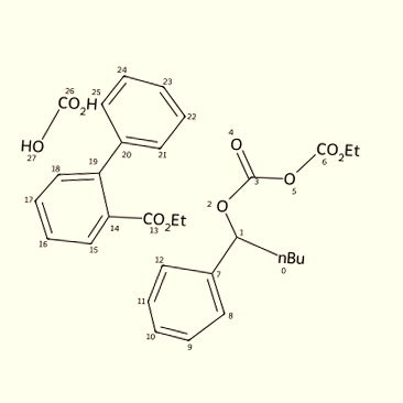 CCCCC(OC(=O)OC(=O)OCC)c1ccccc1.CCOC(=O)c1ccccc1-c1ccccc1.O=C(O)O